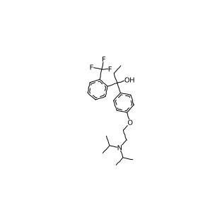 CCC(O)(c1ccc(OCCN(C(C)C)C(C)C)cc1)c1ccccc1C(F)(F)F